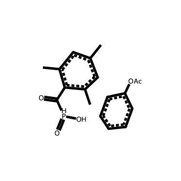 CC(=O)Oc1ccccc1.Cc1cc(C)c(C(=O)[PH](=O)O)c(C)c1